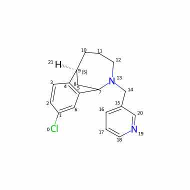 Clc1ccc2c(c1)C1C[C@@H]2CCCN1Cc1cccnc1